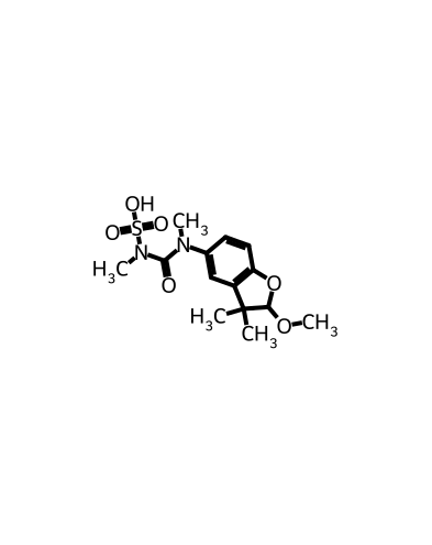 COC1Oc2ccc(N(C)C(=O)N(C)S(=O)(=O)O)cc2C1(C)C